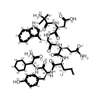 CC[C@H](C)[C@H](NC(=O)[C@H](CCC(N)=O)NC(=O)[C@H](Cc1c[nH]c2ccccc12)NC(=O)[C@H](CC(=O)O)NC(=O)C(C)(C)N)C(=O)N[C@@H](Cc1ccc(O)cc1)C(=O)N[C@H](C(N)=O)C1CCCCC1